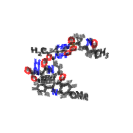 C=CC1CC1(NC(=O)C1CC(Oc2cc(-c3ccccc3)nc3cc(OC)ccc23)CN1C(=O)C(NC(=O)OC(C)(C)C)C(C)(C)C)C(=O)NS(=O)(=O)C1(Cc2cc(C)on2)CC1